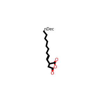 CCCCCCCCCCCCCCCCCC=CC1CC(=O)OC1=O